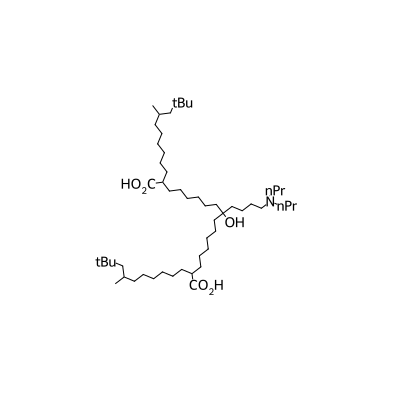 CCCN(CCC)CCCCC(O)(CCCCCCC(CCCCCCC(C)CC(C)(C)C)C(=O)O)CCCCCCC(CCCCCCC(C)CC(C)(C)C)C(=O)O